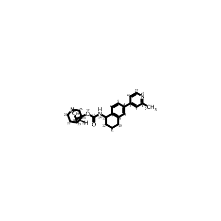 Cc1cc(-c2ccc3c(c2)CCCC3NC(=O)O[C@H]2CN3CCC2CC3)ccn1